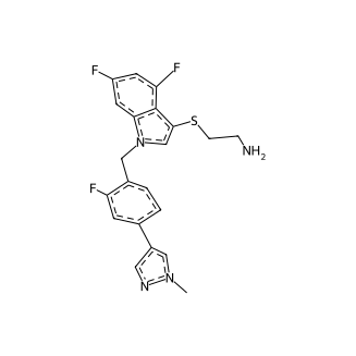 Cn1cc(-c2ccc(Cn3cc(SCCN)c4c(F)cc(F)cc43)c(F)c2)cn1